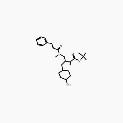 CN(CC(CC1CCC(O)CC1)NC(=O)OC(C)(C)C)C(=O)OCc1ccccc1